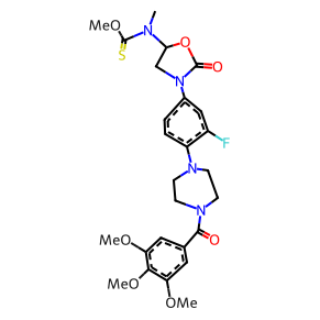 COC(=S)N(C)C1CN(c2ccc(N3CCN(C(=O)c4cc(OC)c(OC)c(OC)c4)CC3)c(F)c2)C(=O)O1